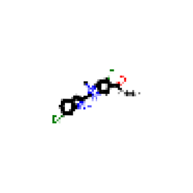 COC(=O)c1cc2nc(-c3cc4ccc(Br)cc4[nH]3)n(C)c2cc1F